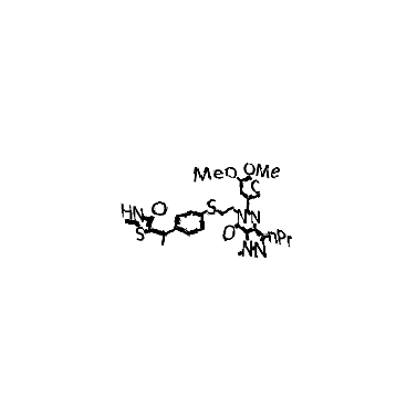 C=c1[nH]c(=O)/c(=C(/C)c2ccc(SCCn3c(-c4ccc(OC)c(OC)c4)nc4c(CCC)nn(C)c4c3=O)cc2)s1